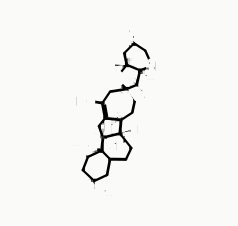 CC(=O)O[C@@H]1CC[C@@]2(C)C(CC[C@H]3[C@@H]4CC[C@@]5(CC(C)=C4C[C@@H]32)O[C@@H]2C[C@H](C)CN[C@H]2[C@H]5C)C1